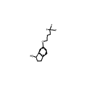 OC1CCc2ccc(OCCCC(F)(F)F)cc21